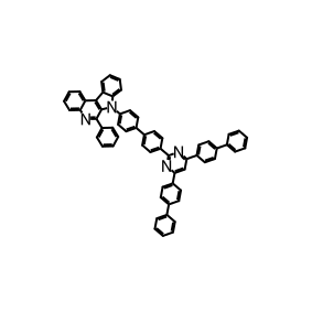 c1ccc(-c2ccc(-c3cc(-c4ccc(-c5ccccc5)cc4)nc(-c4ccc(-c5ccc(-n6c7ccccc7c7c8ccccc8nc(-c8ccccc8)c76)cc5)cc4)n3)cc2)cc1